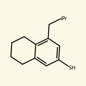 CC(C)Cc1cc(S)cc2c1CCCC2